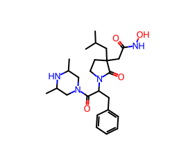 CC(C)CC1(CC(=O)NO)CCN(C(Cc2ccccc2)C(=O)N2CC(C)NC(C)C2)C1=O